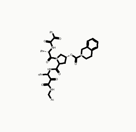 CCCC(NC(=O)C1C[C@@H](OC(=O)N2CCc3ccccc3C2)CN1C(=O)[C@@H](NC(=O)C(=O)C(C)C)C(C)C)C(=O)C(=O)NCC(C)=O